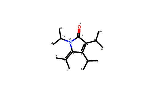 CC(C)=C1C(C(C)C)=C(C(C)C)C(=O)N1C(C)C